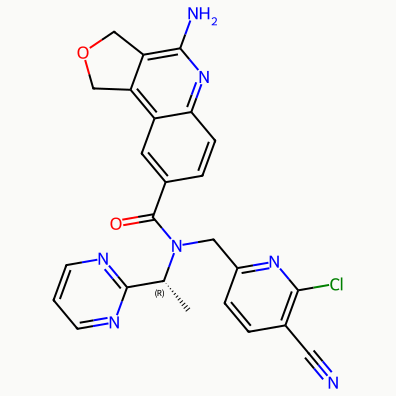 C[C@H](c1ncccn1)N(Cc1ccc(C#N)c(Cl)n1)C(=O)c1ccc2nc(N)c3c(c2c1)COC3